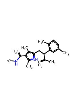 C=C(NCCC)c1c(C)[nH]c(CC(C(=C)C)c2cc(C)ccc2C)c1C